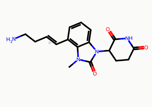 Cn1c(=O)n(C2CCC(=O)NC2=O)c2cccc(/C=C/CCN)c21